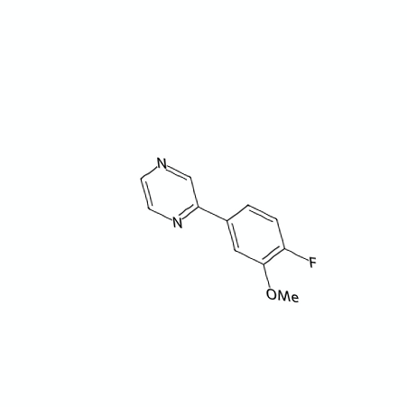 COc1cc(-c2cnccn2)ccc1F